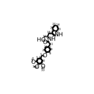 COc1cc(COc2ccc(CC(=O)N[C@@H](CO)CC3=CNC4C=CC=CC34)cc2)cc(OC)c1OC